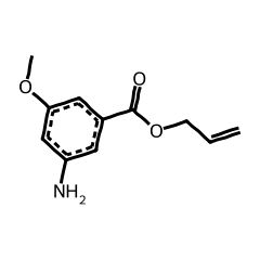 C=CCOC(=O)c1cc(N)cc(OC)c1